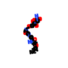 Cc1cc(OC2C(C)(C)C(NC(=O)c3ccc(N4CCC5(CC4)CN(CCOc4ccc6c(c4)C(=O)N([C@@H]4CCC(=O)NC4=O)C6=O)CCO5)cc3)C2(C)C)cc(C)c1C#N